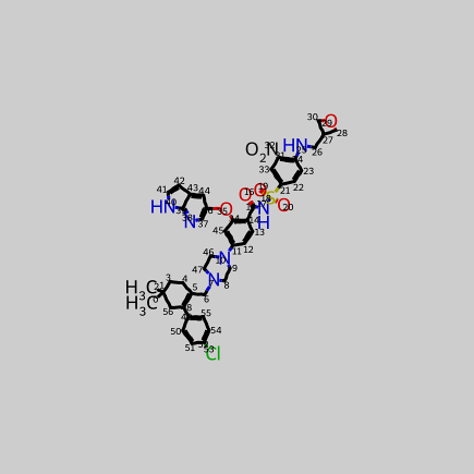 CC1(C)CCC(CN2CCN(c3ccc(C(=O)NS(=O)(=O)c4ccc(NCC5COC5)c([N+](=O)[O-])c4)c(Oc4cnc5[nH]ccc5c4)c3)CC2)=C(c2ccc(Cl)cc2)C1